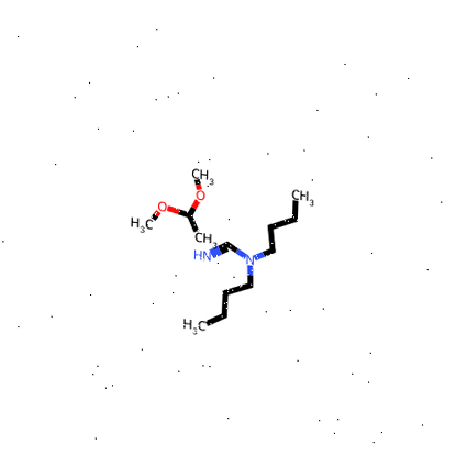 CCCCN(C=N)CCCC.COC(C)OC